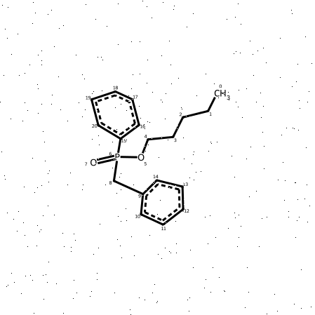 CCCCCOP(=O)(Cc1cc[c]cc1)c1ccccc1